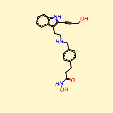 O=C(CCc1ccc(CNCCc2c(C#CCO)[nH]c3ccccc23)cc1)NO